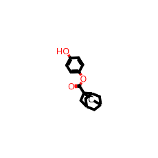 O=C(Oc1ccc(O)cc1)C12CC3CC(CC1C3)C2